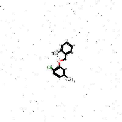 Cc1ccc(Cl)c(OCc2ccccc2C(C)(C)C)c1